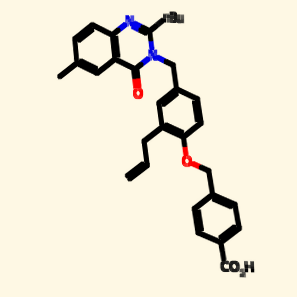 C=CCc1cc(Cn2c(CCCC)nc3ccc(C)cc3c2=O)ccc1OCc1ccc(C(=O)O)cc1